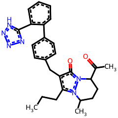 CCCc1c(Cc2ccc(-c3ccccc3-c3nnn[nH]3)cc2)c(=O)n2n1C(C)CCC2C(C)=O